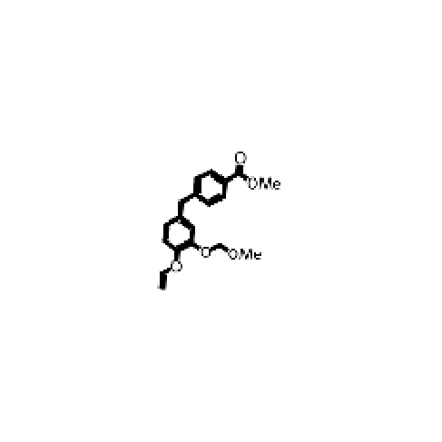 C=COc1ccc(Cc2ccc(C(=O)OC)cc2)cc1OCOC